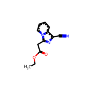 CCOC(=O)Cc1nc(C#N)c2ccccn12